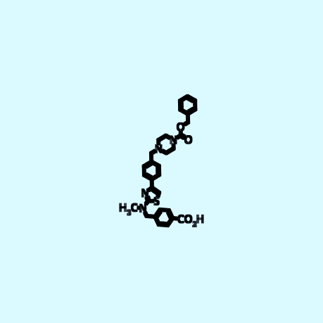 CN(Cc1ccc(C(=O)O)cc1)c1nc(-c2ccc(CN3CCN(C(=O)OCc4ccccc4)CC3)cc2)cs1